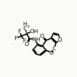 C[C@@](O)(C(=O)Nc1cccc2c1C(=O)c1ccoc1CO2)C(F)(F)F